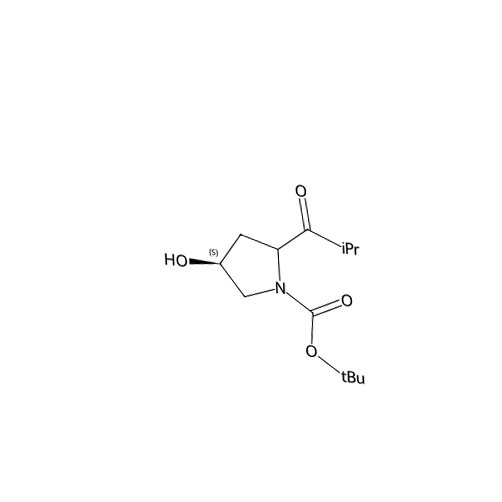 CC(C)C(=O)C1C[C@H](O)CN1C(=O)OC(C)(C)C